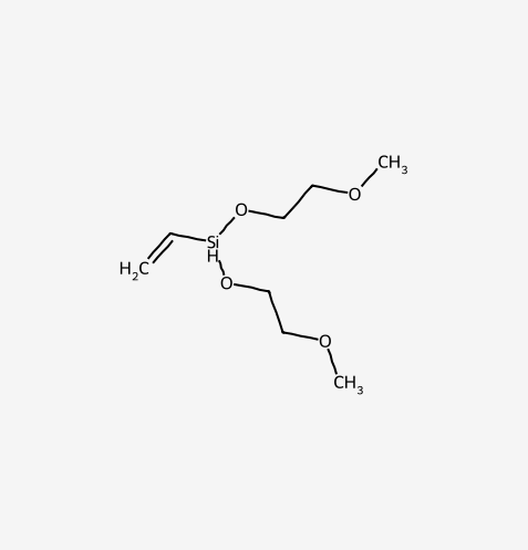 C=C[SiH](OCCOC)OCCOC